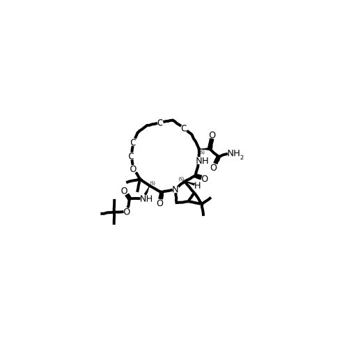 CC(C)(C)OC(=O)N[C@@H]1C(=O)N2CC3C([C@H]2C(=O)N[C@H](C(=O)C(N)=O)CCCCCCCCOC1(C)C)C3(C)C